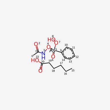 CC(=O)NO[As](=O)(OO)c1ccccc1.CCCCCC(=O)O